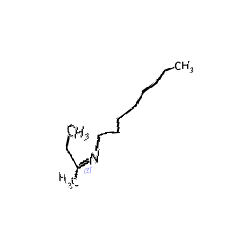 CCCCCCCC/N=C(/C)CC